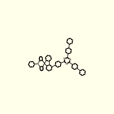 c1ccc(-c2ccc(-c3nc(-c4ccc(-c5ccccc5)cc4)nc(-c4ccc(-c5cccc6c5-c5ccccc5C65c6ccccc6N(c6ccccc6)c6ccccc65)cc4)n3)cc2)cc1